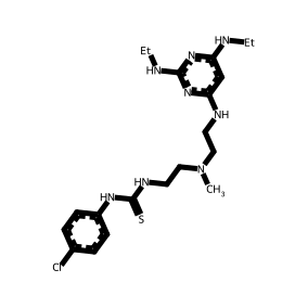 CCNc1cc(NCCN(C)CCNC(=S)Nc2ccc(Cl)cc2)nc(NCC)n1